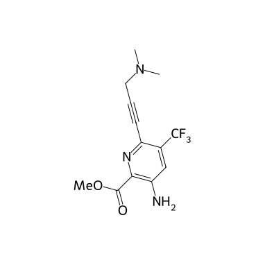 COC(=O)c1nc(C#CCN(C)C)c(C(F)(F)F)cc1N